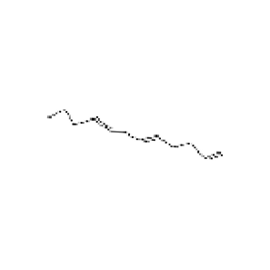 C=CCCC=CCC=CCCC